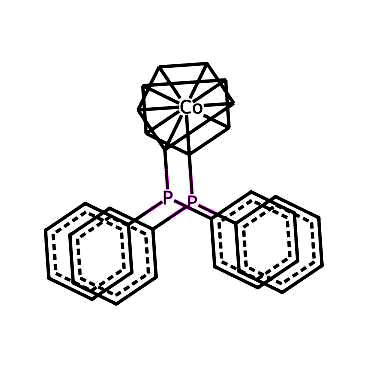 c1ccc(P(c2ccccc2)[C]23[CH]4[CH]5[CH]6[CH]2[Co]56432789[CH]3[CH]2[CH]7[C]8(P(c2ccccc2)c2ccccc2)[CH]39)cc1